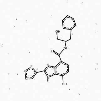 O=C(NC(CO)Cc1ccccc1)c1ccc(O)c2[nH]c(-c3cccs3)nc12